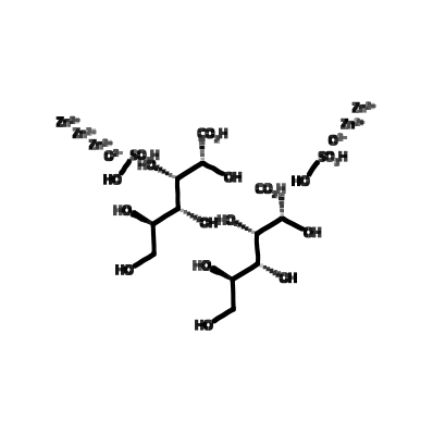 O=C(O)[C@H](O)[C@@H](O)[C@H](O)[C@H](O)CO.O=C(O)[C@H](O)[C@@H](O)[C@H](O)[C@H](O)CO.O=S(=O)(O)O.O=S(=O)(O)O.[O-2].[O-2].[Zn+2].[Zn+2].[Zn+2].[Zn+2].[Zn+2]